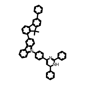 CC1(C)c2ccc(-c3ccccc3)cc2-c2cccc(-c3ccc4c(c3)c3ccccc3n4-c3ccc(C4=CC(c5ccccc5)NC(c5ccccc5)=N4)cc3)c21